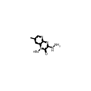 CCCCn1c(=O)c(NN)nc2ncc(C)cc21